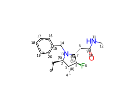 CC[C@@H]1[C@@H](C)[C@H](F)[C@@H](CC(=O)NC)N1Cc1ccccc1